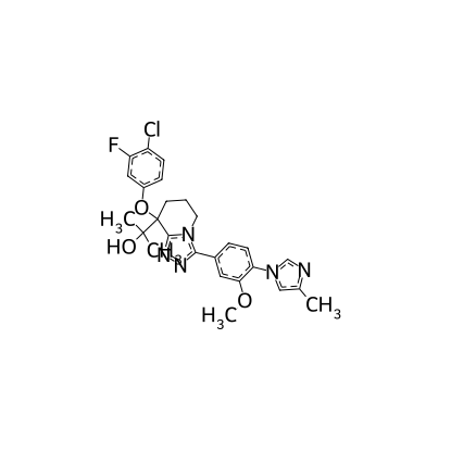 COc1cc(-c2nnc3n2CCCC3(Oc2ccc(Cl)c(F)c2)C(C)(C)O)ccc1-n1cnc(C)c1